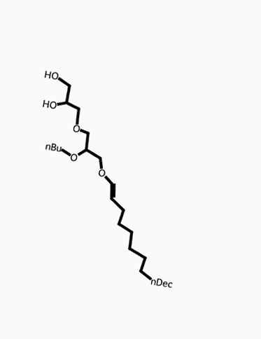 CCCCCCCCCCCCCCCCC=COCC(COCC(O)CO)OCCCC